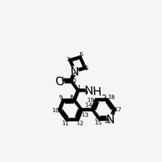 NC(C(=O)N1CCC1)c1ccccc1-c1[c]nccc1